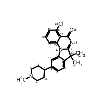 CN1CCC(c2ccc3c(c2)-n2c(nc(=O)c4c(Cl)cccc42)C3(C)C)CC1